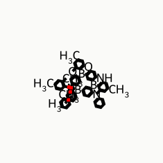 Cc1cc(C)c(N2c3cc4c(cc3B3c5ccccc5N(c5ccccc5)c5cc(C)cc2c53)B2c3cc5c(cc3Oc3cc(C)cc(c32)O4)Nc2cc(C)cc3c2B5c2ccccc2N3c2ccccc2)c(C)c1